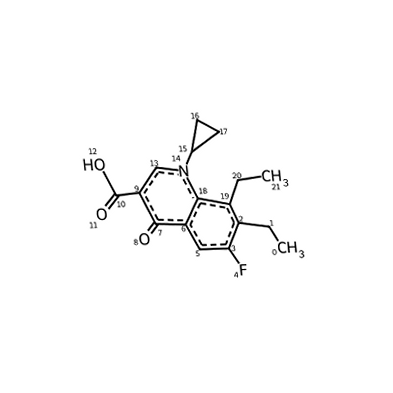 CCc1c(F)cc2c(=O)c(C(=O)O)cn(C3CC3)c2c1CC